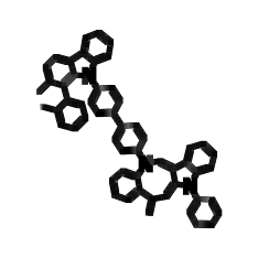 C=C1/C=c2\c(c3ccccc3n2-c2ccccc2)=C/N(c2ccc(-c3ccc(-n4c5ccccc5c5ccc(C)c(-c6ccccc6C)c54)cc3)cc2)c2ccccc21